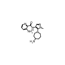 Cn1ncc(NC(=O)c2ncccc2N)c1N1CCCC(N)CC1